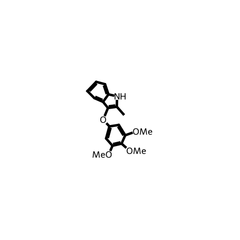 COc1cc(Oc2c(C)[nH]c3ccccc23)cc(OC)c1OC